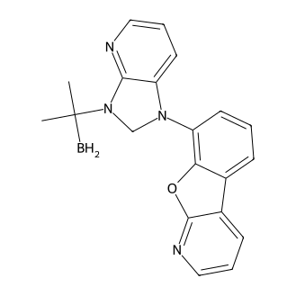 BC(C)(C)N1CN(c2cccc3c2oc2ncccc23)c2cccnc21